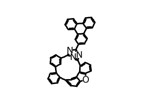 c1cc2cc(c1)c1ccccc1c1ccc3oc4cccc(c5nc(-c6ccc7c8ccccc8c8ccccc8c7c6)nc2n5)c4c3c1